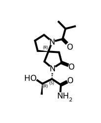 CC(C)C(=O)N1CCC[C@]12CC(=O)N([C@H](C(N)=O)[C@@H](C)O)C2